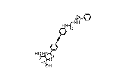 C[C@@H](O)[C@H](NC(=O)c1ccc(C#Cc2ccc(NC(=O)CN[C@H]3C[C@@H]3c3ccccc3)cc2)cc1)C(=O)NO